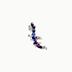 C=CC(=O)Nc1cc(Nc2nc(-c3ccnc(N4CCn5c(cc6c5CC(C)(C)C6)C4=O)c3CO)cnc2OC)ccc1N1CCN(C2CCN(c3ccnc(C4(C)CCOCC4)c3)[C@@H](C)C2)C[C@@H]1C